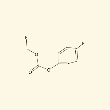 O=C(OCF)Oc1ccc(F)cc1